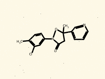 Cc1ccc(N2OC(C)(c3cccnc3)CC2=O)cc1Cl